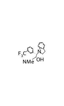 CNC[C@@H](O)[C@H](c1cccc(C(F)(F)F)c1)N1CCc2ccccc21